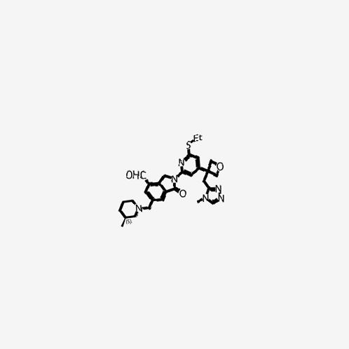 CCSc1cc(C2(Cc3nncn3C)COC2)cc(N2Cc3c(C=O)cc(CN4CCC[C@H](C)C4)cc3C2=O)n1